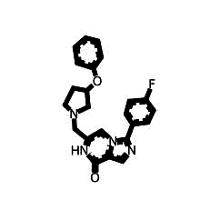 O=c1[nH]c(CN2CCC(Oc3ccccc3)C2)cn2c(-c3ccc(F)cc3)ncc12